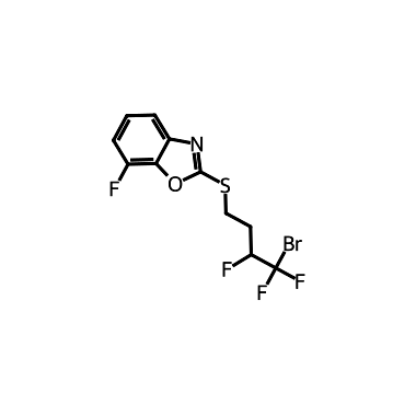 Fc1cccc2nc(SCCC(F)C(F)(F)Br)oc12